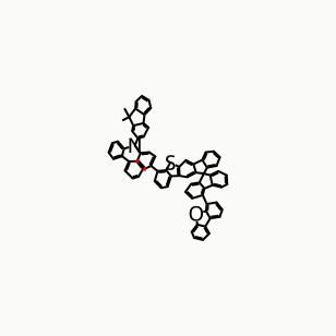 CC1(C)c2ccccc2-c2ccc(N(c3ccc(-c4cccc5c4sc4cc6c(cc45)C4(c5ccccc5-6)c5ccccc5-c5c(-c6cccc7c6oc6ccccc67)cccc54)cc3)c3ccccc3-c3ccccc3)cc21